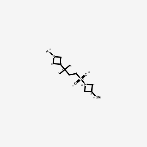 CC(=O)N1CC(C(C)(C)CCS(=O)(=O)N2CC(C(C)(C)C)C2)C1